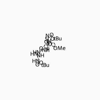 COc1ccc(CN(c2scnc2C(=O)OC(C)(C)C)S(=O)(=O)c2ccc(NC(=O)CNC(=N)NCCNC(=O)OC(C)(C)C)c(F)c2)cc1